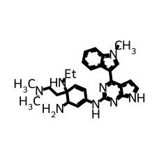 CCNC1(CCN(C)C)C=CC(Nc2nc(-c3cn(C)c4ccccc34)c3cc[nH]c3n2)=CC1N